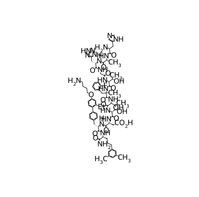 CCc1cc(OCCCCN)ccc1-c1ccc(C[C@H](NC(=O)[C@H](CC(=O)O)NC(=O)[C@H](CO)NC(=O)[C@@H](NC(=O)[C@](C)(Cc2ccccc2F)NC(=O)[C@@H](NC(=O)CNC(=O)[C@H](Cc2nn[nH]n2)NC(=O)[C@H](C)NC(=O)[C@@H](N)Cc2cnc[nH]2)[C@@H](C)O)[C@@H](C)O)C(=O)N[C@@H](CCCc2cc(C)cc(C)c2)C(N)=O)cc1